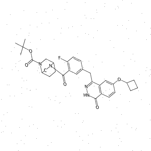 CC(C)(C)OC(=O)N1CC2CCC1CN2C(=O)c1cc(Cc2n[nH]c(=O)c3ccc(OC4CCC4)cc23)ccc1F